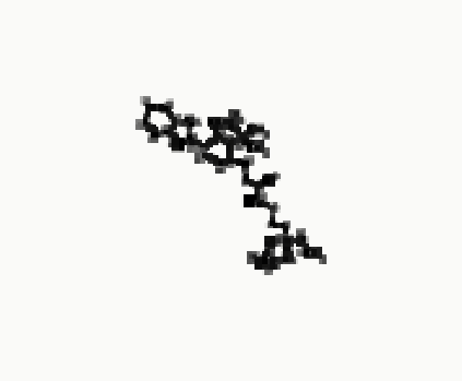 CO[Si](CCCNC(=O)CCc1ccc(-n2nc3ccccc3n2)c(O)c1C(C)(C)C)(OC)OC